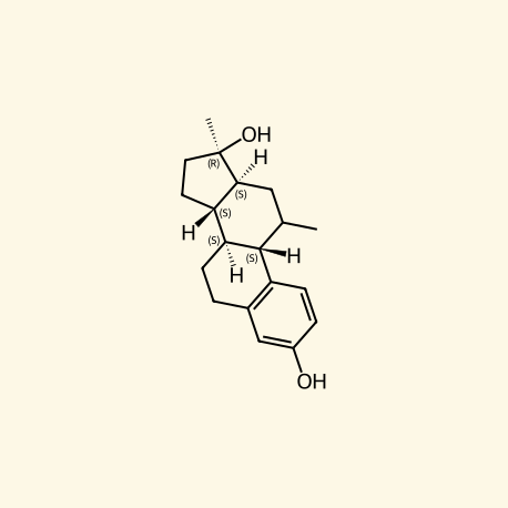 CC1C[C@H]2[C@@H](CC[C@@]2(C)O)[C@@H]2CCc3cc(O)ccc3[C@@H]12